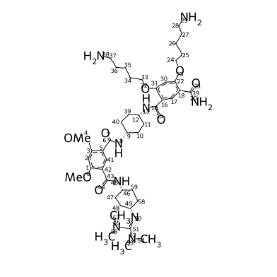 COc1cc(OC)c(C(=O)N[C@H]2CC[C@@H](NC(=O)c3cc(C(N)=O)c(OCCCCCN)cc3OCCCCCN)CC2)cc1C(=O)N[C@H]1CC[C@@H](N=C(N(C)C)N(C)C)CC1